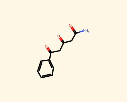 NC(=O)CC(=O)CC(=O)c1ccccc1